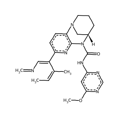 C=N/C=C(\C(C)=C/C)c1ccc2c(n1)N(C(=O)Nc1cc(OC)ncn1)[C@H]1CCCN2C1